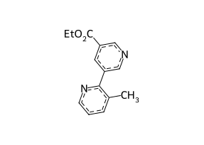 CCOC(=O)c1cncc(-c2ncccc2C)c1